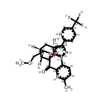 COC[C@@H]1[C@@H]2CC[C@@H]([C@H](Oc3ccc(C(F)(F)F)cn3)C2)N1C(=O)c1nc(C)ccc1-n1nccn1